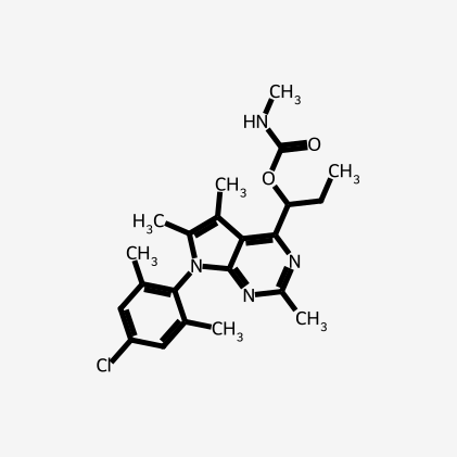 CCC(OC(=O)NC)c1nc(C)nc2c1c(C)c(C)n2-c1c(C)cc(Cl)cc1C